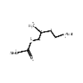 CCCCCCCC(C)COC(=O)OC